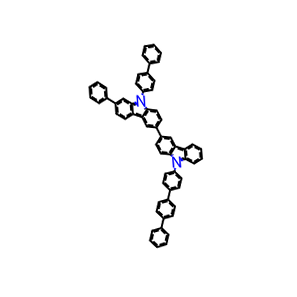 c1ccc(-c2ccc(-c3ccc(-n4c5ccccc5c5cc(-c6ccc7c(c6)c6ccc(-c8ccccc8)cc6n7-c6ccc(-c7ccccc7)cc6)ccc54)cc3)cc2)cc1